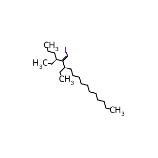 CCCCCCCCCCC[C@@H](CC)/C(=C/I)[C@@H](CC)CCC